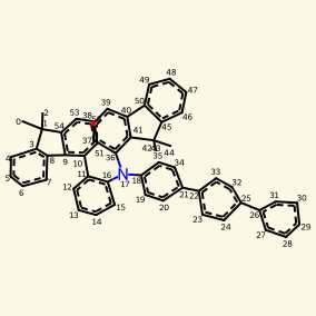 CC1(C)c2ccccc2-c2c(-c3ccccc3N(c3ccc(-c4ccc(-c5ccccc5)cc4)cc3)c3cccc4c3C(C)(C)c3ccccc3-4)cccc21